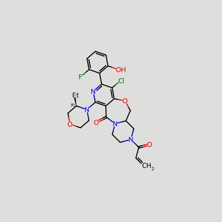 C=CC(=O)N1CCN2C(=O)c3c(N4CCOC[C@H]4CC)nc(-c4c(O)cccc4F)c(Cl)c3OCC2C1